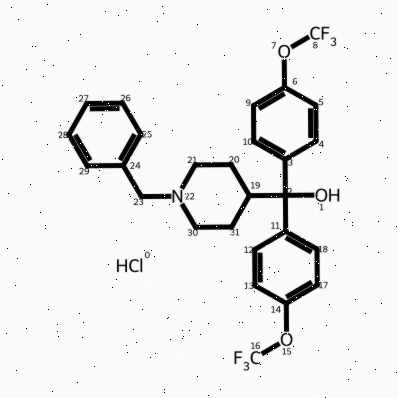 Cl.OC(c1ccc(OC(F)(F)F)cc1)(c1ccc(OC(F)(F)F)cc1)C1CCN(Cc2ccccc2)CC1